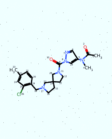 CC(=O)N(C)c1cnn(C(=O)N2CCC3(CCN(Cc4ccc(C)cc4Cl)C3)C2)c1